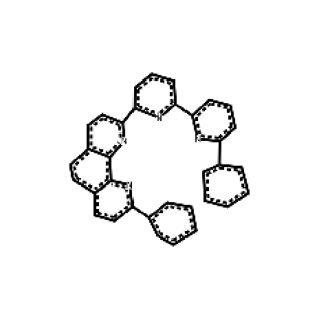 c1ccc(-c2cccc(-c3cccc(-c4ccc5ccc6ccc(-c7ccccc7)nc6c5n4)n3)n2)cc1